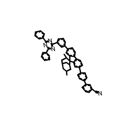 CC1CC2CC(C)C3(c4cc(-c5ccc(-c6cccc(C#N)c6)cc5)ccc4-c4ccc(-c5cccc(-c6nc(-c7ccccc7)nc(-c7ccccc7)n6)c5)cc43)C(C1)C2